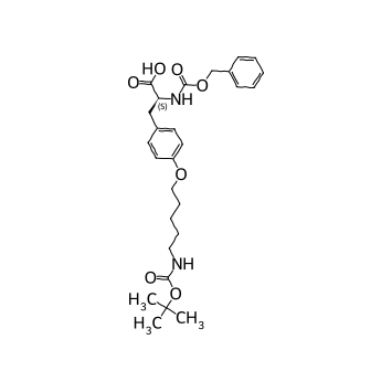 CC(C)(C)OC(=O)NCCCCCOc1ccc(C[C@H](NC(=O)OCc2ccccc2)C(=O)O)cc1